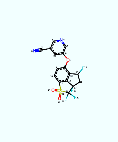 N#Cc1cncc(Oc2ccc3c4c2C(F)CC4(F)C(F)(F)S3(=O)=O)c1